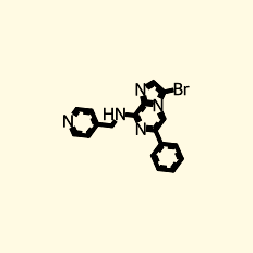 Brc1cnc2c(NCc3ccncc3)nc(-c3ccccc3)cn12